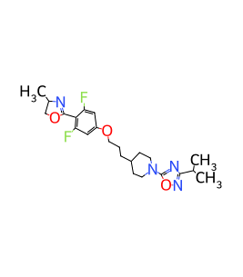 CC1COC(c2c(F)cc(OCCCC3CCN(c4nc(C(C)C)no4)CC3)cc2F)=N1